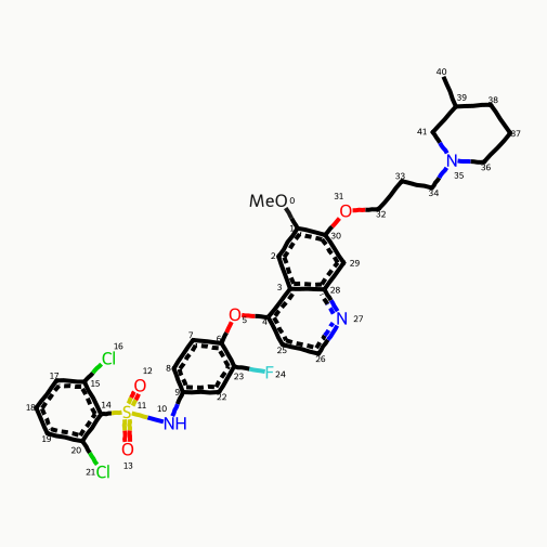 COc1cc2c(Oc3ccc(NS(=O)(=O)c4c(Cl)cccc4Cl)cc3F)ccnc2cc1OCCCN1CCCC(C)C1